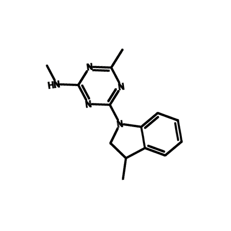 CNc1nc(C)nc(N2CC(C)c3ccccc32)n1